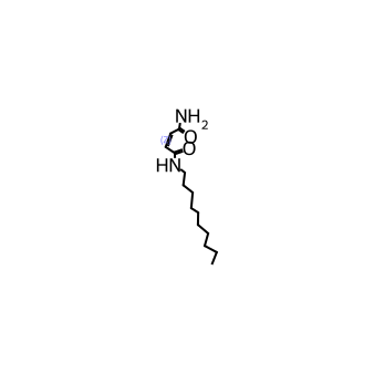 CCCCCCCCCCNC(=O)/C=C\C(N)=O